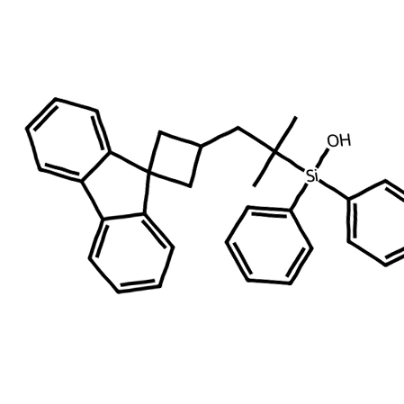 CC(C)(CC1CC2(C1)c1ccccc1-c1ccccc12)[Si](O)(c1ccccc1)c1ccccc1